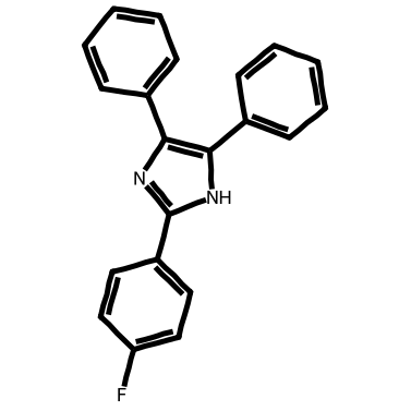 Fc1ccc(-c2nc(-c3ccccc3)c(-c3ccccc3)[nH]2)cc1